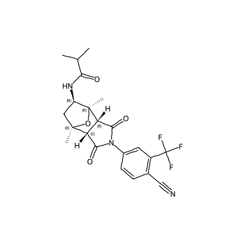 CC(C)C(=O)N[C@@H]1C[C@@]2(C)O[C@]1(C)[C@@H]1C(=O)N(c3ccc(C#N)c(C(F)(F)F)c3)C(=O)[C@@H]12